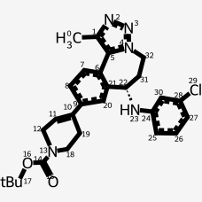 Cc1nnn2c1-c1ccc(C3=CCN(C(=O)OC(C)(C)C)CC3)cc1[C@@H](Nc1cccc(Cl)c1)CC2